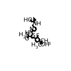 CC(C)(O)c1ccc(-c2cc(C(N)=O)c(Nc3cccc(CNC4(CO)CC4)n3)s2)c(F)c1